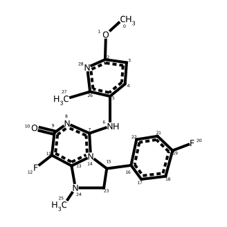 COc1ccc(Nc2nc(=O)c(F)c3n2C(c2ccc(F)cc2)CN3C)c(C)n1